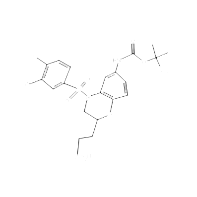 CC(C)(OC(=O)Nc1ccc2c(c1)N(S(=O)(=O)c1ccc(F)c(Cl)c1)CC(CCC(=O)O)O2)C(F)(F)F